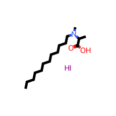 CCCCCCCCCCCCN(C)C(C)C(=O)O.I